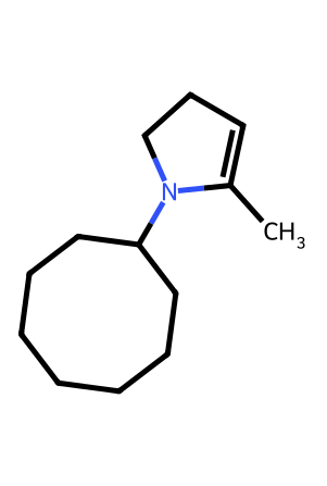 CC1=CCCN1C1CCCCCCC1